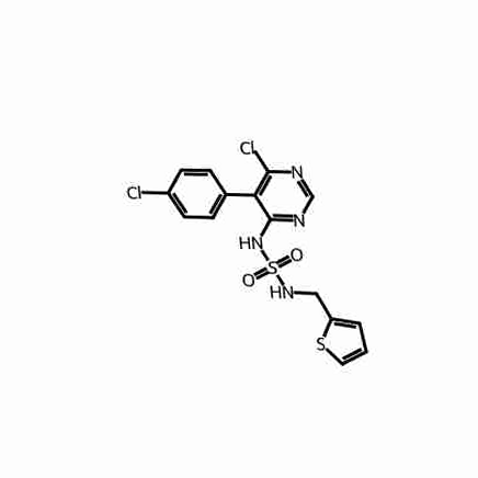 O=S(=O)(NCc1cccs1)Nc1ncnc(Cl)c1-c1ccc(Cl)cc1